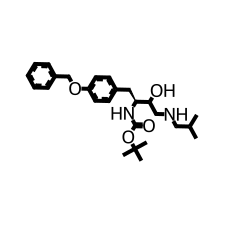 CC(C)CNCC(O)[C@H](Cc1ccc(OCc2ccccc2)cc1)NC(=O)OC(C)(C)C